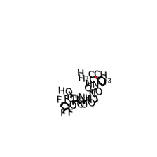 CC(C)(C)c1ccccc1NC(=O)C(=O)N1CCCO[C@@H](C(=O)N[C@@H](CC(=O)O)C(=O)COc2c(F)c(F)cc(F)c2F)C1